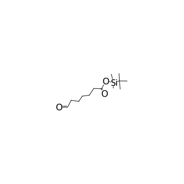 CC(C)(C)[Si](C)(C)OC(=O)CCCCCC=O